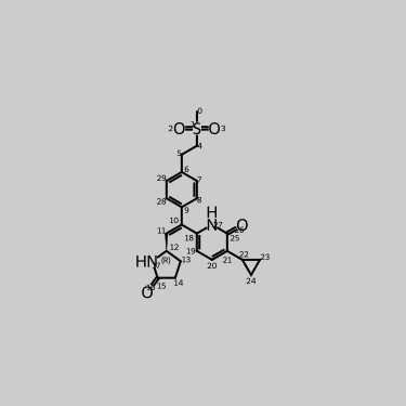 CS(=O)(=O)CCc1ccc(C(=C[C@H]2CCC(=O)N2)c2ccc(C3CC3)c(=O)[nH]2)cc1